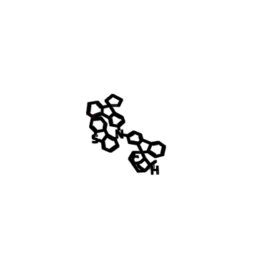 C[C@H]1C2CCC3CC(C2)CC1C31c2ccccc2-c2ccc(N(c3ccc4c(c3)-c3ccccc3C43CCCC3)c3cccc4sc5ccccc5c34)cc21